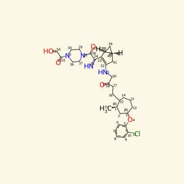 C[C@@H]1C[C@H](Oc2ccccc2Cl)CCCC1CCC(=O)CNC1=C(C(=N)C(=O)N2CCN(C(=O)CO)CC2)[C@@H]2C[C@@H]2C1